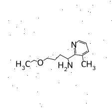 CCOCCCC(N)c1ncccc1C